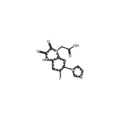 O=C(O)Cn1c(=O)c(=O)[nH]c2cc(F)c(-n3ccnc3)cc21